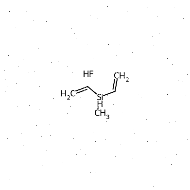 C=C[SiH](C)C=C.F